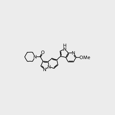 COc1ccc2c(-c3ccn4ncc(C(=O)N5CCCCC5)c4c3)c[nH]c2n1